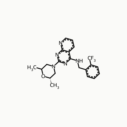 CC1CN(c2nc(NCc3ccccc3C(F)(F)F)c3cccnc3n2)C[C@H](C)O1